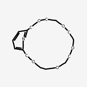 c1cc2nc(c1)COCCOCCOCCOCCOC2